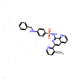 Cc1cccnc1-c1cc2cccnc2c(NS(=O)(=O)c2ccc(NCc3ccccc3)cc2)n1